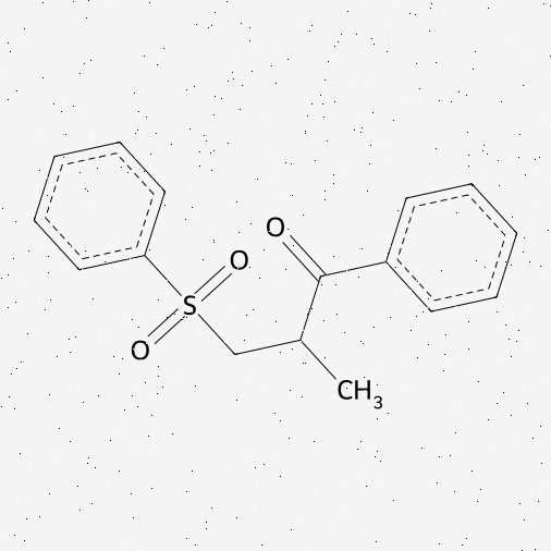 CC(CS(=O)(=O)c1ccccc1)C(=O)c1ccccc1